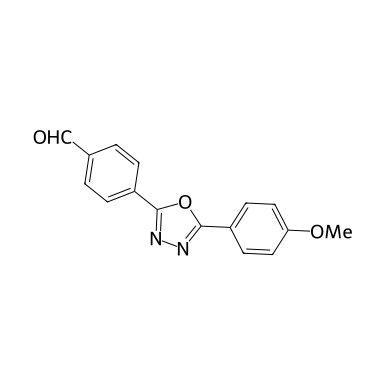 COc1ccc(-c2nnc(-c3ccc(C=O)cc3)o2)cc1